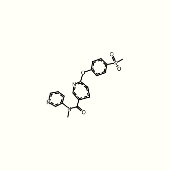 CN(C(=O)c1ccc(Oc2ccc(S(C)(=O)=O)cc2)nc1)c1cccnc1